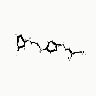 CC(C)=CCOc1ccc(OCCOc2cccc(F)n2)cc1